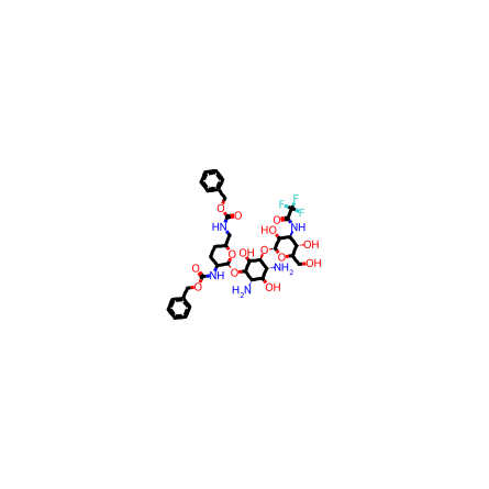 N[C@@H]1C(O[C@H]2OC(CNC(=O)OCc3ccccc3)CCC2NC(=O)OCc2ccccc2)C(O)[C@@H](O[C@H]2OC(CO)[C@@H](O)[C@H](NC(=O)C(F)(F)F)C2O)[C@H](N)C1O